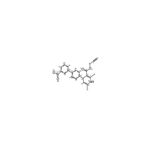 C#CCOC(=O)C1=C(C)NC(C)=CC1c1ccc(-c2cccc([N+](=O)[O-])c2)nc1